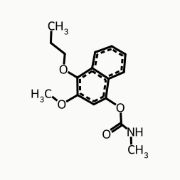 CCCOc1c(OC)cc(OC(=O)NC)c2ccccc12